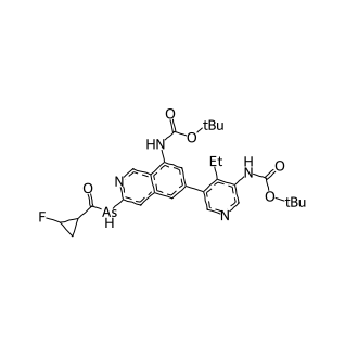 CCc1c(NC(=O)OC(C)(C)C)cncc1-c1cc(NC(=O)OC(C)(C)C)c2cnc([AsH]C(=O)C3CC3F)cc2c1